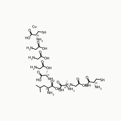 CC(C)C[C@H](N)C(=O)O.C[C@H](N)C(=O)O.C[C@H](N)C(=O)O.NCC(=O)O.NCC(=O)O.NCC(=O)O.NCC(=O)O.N[C@@H](CS)C(=O)O.N[C@@H](CS)C(=O)O.[Cu]